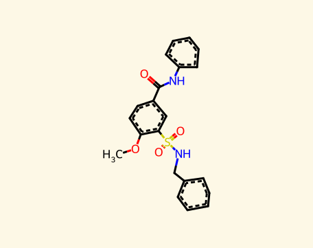 COc1ccc(C(=O)Nc2ccccc2)cc1S(=O)(=O)NCc1ccccc1